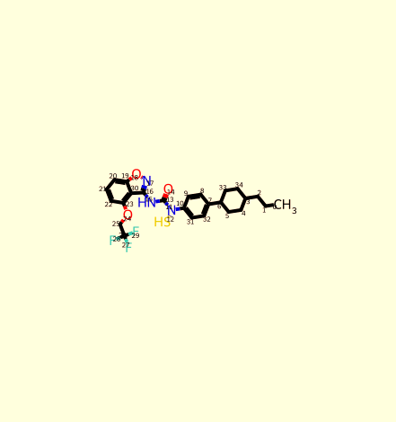 CCCC1CCC(c2ccc(N(S)C(=O)Nc3noc4cccc(OCC(F)(F)F)c34)cc2)CC1